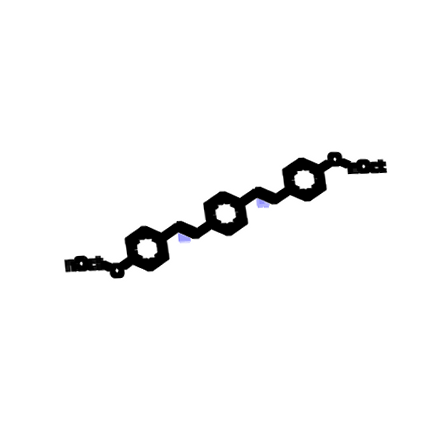 CCCCCCCCOc1ccc(/C=C/c2ccc(/C=C/c3ccc(OCCCCCCCC)cc3)cc2)cc1